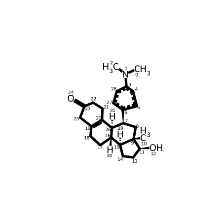 CN(C)c1ccc([C@H]2C[C@]3(C)[C@@H](O)CC[C@H]3[C@@H]3CCC4=C(CCC(=O)C4)[C@H]32)cc1